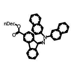 CCCCCCCCCCOC(=O)c1ccc2c(c1)-c1ccccc1/C2=N/N(c1ccc2ccccc2c1)c1ccc2ccccc2c1